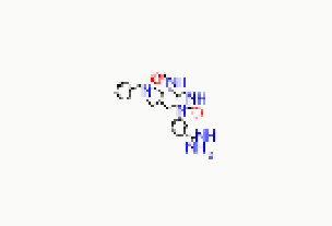 CC(=O)NCC1CNC(=O)N(c2cccc(C(=N)N)c2)C1CC1CCN(Cc2ccccc2)CC1